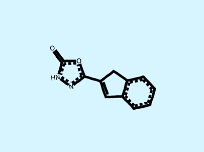 O=c1[nH]nc(C2=Cc3ccccc3C2)o1